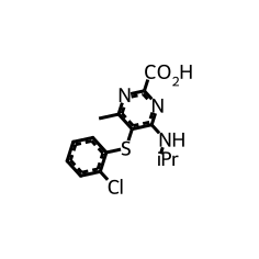 Cc1nc(C(=O)O)nc(NC(C)C)c1Sc1ccccc1Cl